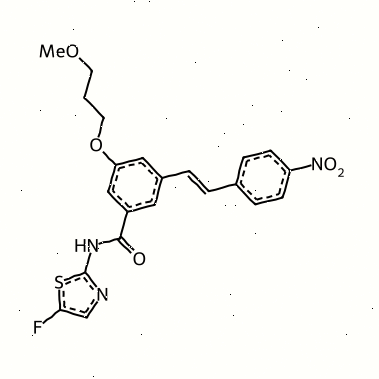 COCCCOc1cc(/C=C/c2ccc([N+](=O)[O-])cc2)cc(C(=O)Nc2ncc(F)s2)c1